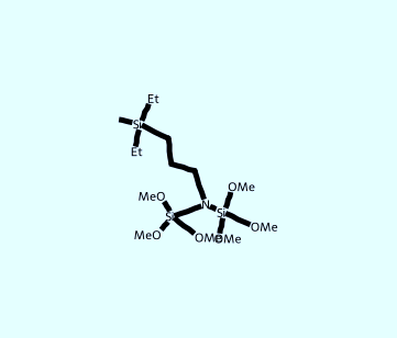 CC[Si](C)(CC)CCCN([Si](OC)(OC)OC)[Si](OC)(OC)OC